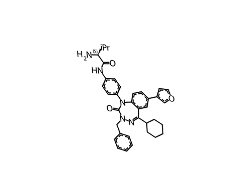 CC(C)[C@H](N)C(=O)Nc1ccc(N2C(=O)N(Cc3ccccc3)N=C(C3CCCCC3)c3cc(-c4ccoc4)ccc32)cc1